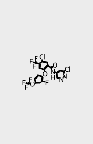 O=C(Nc1cnnc(Cl)c1)c1cc(Cl)c(C(F)(F)F)cc1Oc1ccc(OC(F)(F)F)cc1F